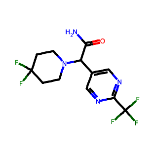 NC(=O)C(c1cnc(C(F)(F)F)nc1)N1CCC(F)(F)CC1